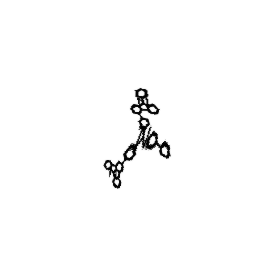 c1ccc(-c2ccc(N(c3ccc(-c4cc5c6ccccc6n6c7ccccc7c(c4)c56)cc3)c3ccc(-c4cccc5c4c4ccccc4n5-c4ccccc4)cc3)cc2)cc1